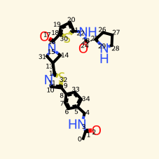 CC(=O)NCc1ccc(-c2cnc(C3CN(C(=O)c4ccc(NC(=O)[C@@H]5CCCN5)s4)C3)s2)cc1